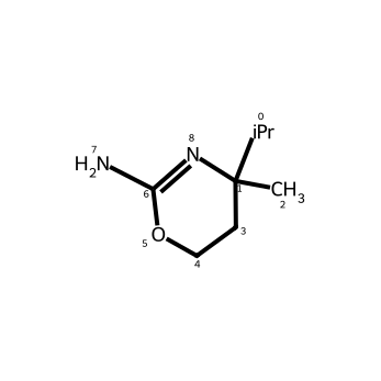 CC(C)C1(C)CCOC(N)=N1